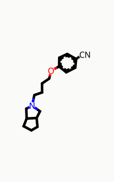 N#Cc1ccc(OCCCCN2CC3CCCC3C2)cc1